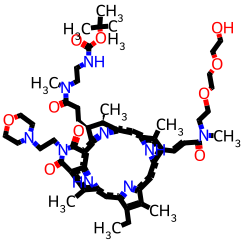 CCC1=C(C)c2cc3[nH]c(cc4nc(c5c6[nH]c(cc1n2)c(C)c6C(=O)N(CCN1CCOCC1)C5=O)[C@@H](CCC(=O)N(C)CCNC(=O)OC(C)(C)C)[C@@H]4C)c(C)c3/C=C/C(=O)N(C)CCOCCOCCO